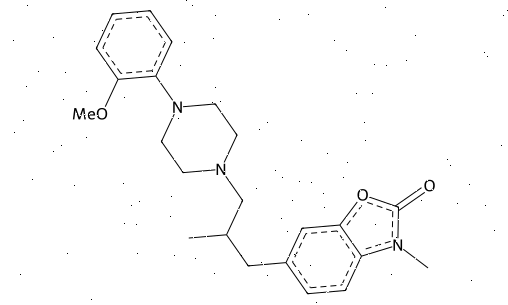 COc1ccccc1N1CCN(CC(C)Cc2ccc3c(c2)oc(=O)n3C)CC1